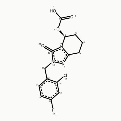 O=C(O)O[C@H]1CCCc2nn(Cc3ccc(F)cc3Cl)c(=O)n21